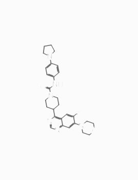 O=C(Nc1ccc(N2CCCC2)cc1)N1CCC(c2ncnc3cc(N4CCOCC4)c(F)cc23)CC1